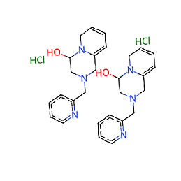 Cl.Cl.OC1CN(Cc2ccccn2)CC2=CC=CCN21.OC1CN(Cc2ccccn2)CC2=CC=CCN21